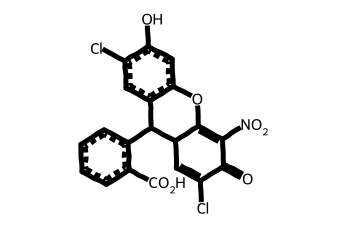 O=C1C(Cl)=CC2C(=C1[N+](=O)[O-])Oc1cc(O)c(Cl)cc1C2c1ccccc1C(=O)O